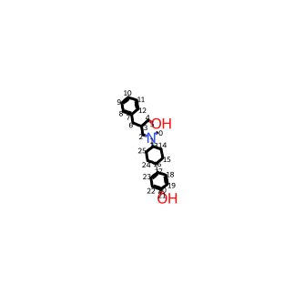 CN(CC(CO)Cc1ccccc1)[C@H]1CC[C@H](c2ccc(O)cc2)CC1